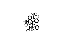 CN1C(=O)CC(C)(c2ccccc2)C1=O.O=C1CN=C(c2ccccc2Cl)c2cc([N+](=O)[O-])ccc2N1